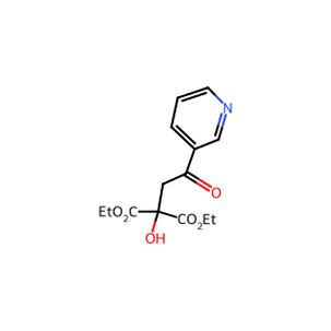 CCOC(=O)C(O)(CC(=O)c1cccnc1)C(=O)OCC